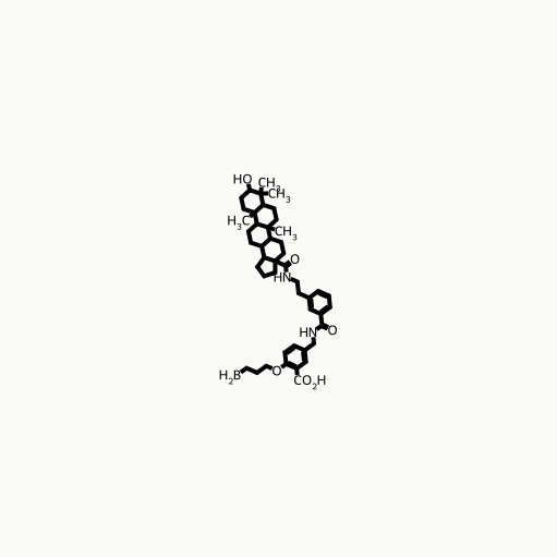 BCCCOc1ccc(CNC(=O)c2cccc(CCNC(=O)C34CCCC3C3CCC5C(C)(CCC6C(C)(C)C(O)CCC65C)C3CC4)c2)cc1C(=O)O